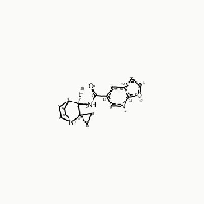 O=C(N[C@@H]1C2CCN(CC2)C12CC2)c1cnc2occc2c1